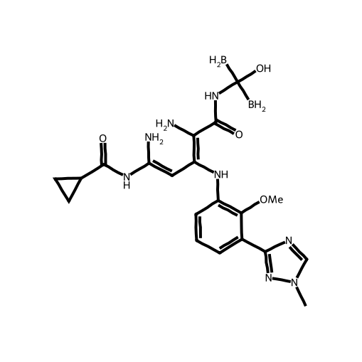 BC(B)(O)NC(=O)/C(N)=C(/C=C(\N)NC(=O)C1CC1)Nc1cccc(-c2ncn(C)n2)c1OC